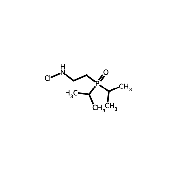 CC(C)P(=O)(CCNCl)C(C)C